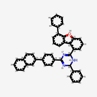 c1ccc(-c2cccc3c2oc2cccc(C4=NC(c5ccc(-c6ccc7ccccc7c6)cc5)=NC(c5ccccc5)N4)c23)cc1